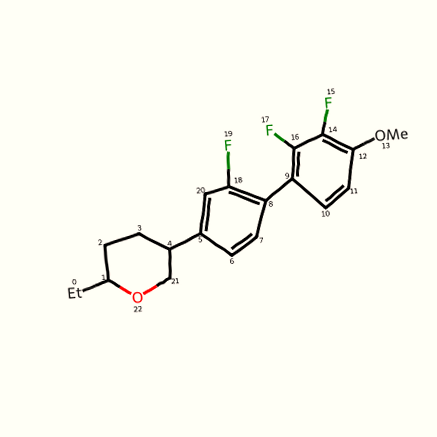 CCC1CCC(c2ccc(-c3ccc(OC)c(F)c3F)c(F)c2)CO1